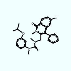 CC(C)Oc1cccc(N(C)C(=O)N(C)Cc2c(-c3ccccc3)c3cc(Cl)ccc3c(=O)n2C)c1